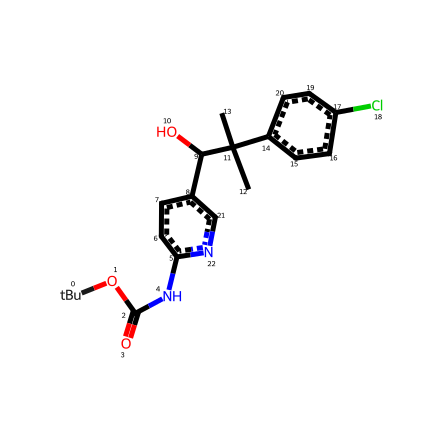 CC(C)(C)OC(=O)Nc1ccc(C(O)C(C)(C)c2ccc(Cl)cc2)cn1